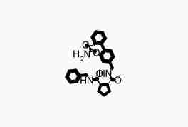 NS(=O)(=O)c1ccccc1-c1ccc(CNC(=O)[C@@H]2CCC[C@H]2C(=O)NCc2ccccc2)cc1